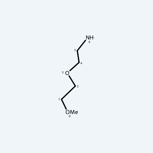 COCCOCC[NH]